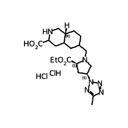 CCOC(=O)[C@@H]1C[C@H](n2nnc(C)n2)CN1CC1CC[C@H]2CNC(C(=O)O)CC2C1.Cl.Cl